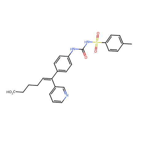 Cc1ccc(S(=O)(=O)NC(=O)Nc2ccc(C(=CCCCC(=O)O)c3cccnc3)cc2)cc1